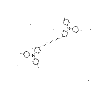 Cc1ccc(N(c2ccc(C)cc2)c2ccc(CCCCCCCCc3ccc(N(c4ccc(C)cc4)c4ccc(C)cc4)cc3)cc2)cc1